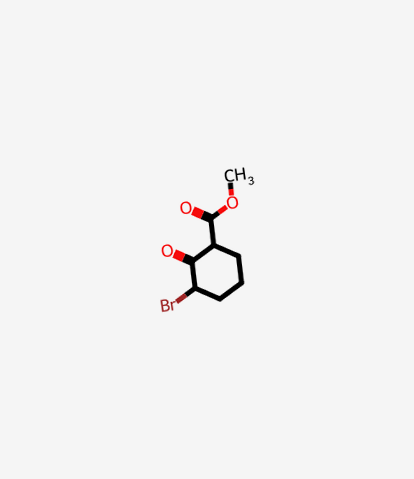 COC(=O)C1CCCC(Br)C1=O